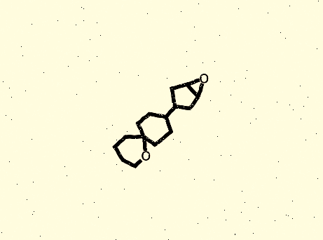 C1CCC2(CCC(C3CC4OC4C3)CC2)OC1